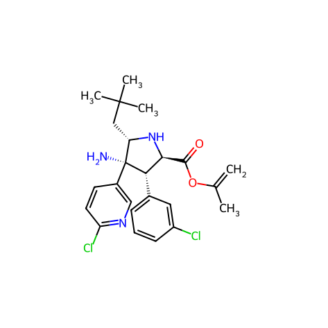 C=C(C)OC(=O)[C@@H]1N[C@@H](CC(C)(C)C)[C@](N)(c2ccc(Cl)nc2)[C@H]1c1cccc(Cl)c1